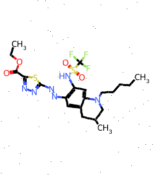 CCCCCN1CC(C)Cc2cc(N=Nc3nnc(C(=O)OCC)s3)c(NS(=O)(=O)C(F)(F)F)cc21